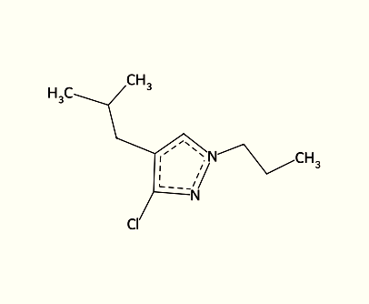 CCCn1cc(CC(C)C)c(Cl)n1